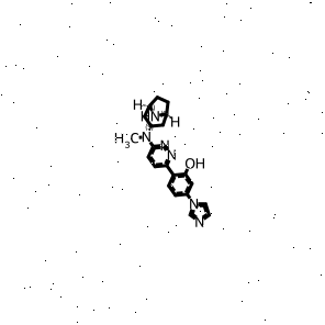 CN(c1ccc(-c2ccc(-n3ccnc3)cc2O)nn1)[C@@H]1C[C@H]2CC[C@@H](C1)N2